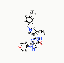 C[C@@H]1CN(Cc2ccc(C(F)(F)F)cc2)C[C@H]1c1nc2c(cnn2C2CCOCC2)c(=O)[nH]1